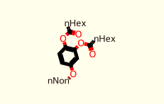 CCCCCCCCCOc1ccc(OC(=O)CCCCCC)c(OC(=O)CCCCCC)c1